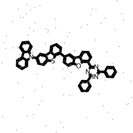 N=C(/N=C(\N=C\c1ccccc1)c1cccc2c1oc1ccc(-c3cccc4c3sc3ccc(-n5c6ccccc6c6ccccc65)cc34)cc12)c1ccccc1